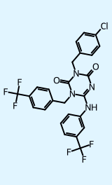 O=c1nc(Nc2cccc(C(F)(F)F)c2)n(Cc2ccc(C(F)(F)F)cc2)c(=O)n1Cc1ccc(Cl)cc1